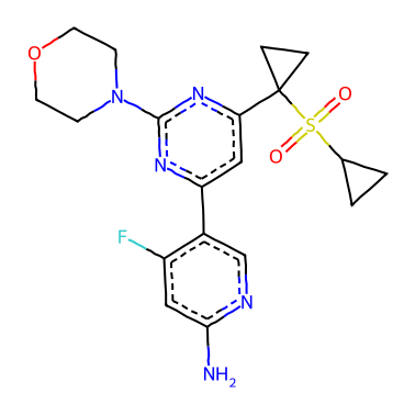 Nc1cc(F)c(-c2cc(C3(S(=O)(=O)C4CC4)CC3)nc(N3CCOCC3)n2)cn1